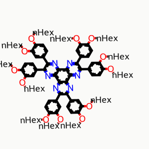 CCCCCCOc1ccc(-c2nc3c4nc(-c5ccc(OCCCCCC)c(OCCCCCC)c5)c(-c5ccc(OCCCCCC)c(OCCCCCC)c5)nc4c4nc(-c5ccc(OCCCCCC)c(OCCCCCC)c5)c(-c5ccc(OCCCCCC)c(OCCCCCC)c5)nc4c3nc2-c2ccc(OCCCCCC)c(OCCCCCC)c2)cc1OCCCCCC